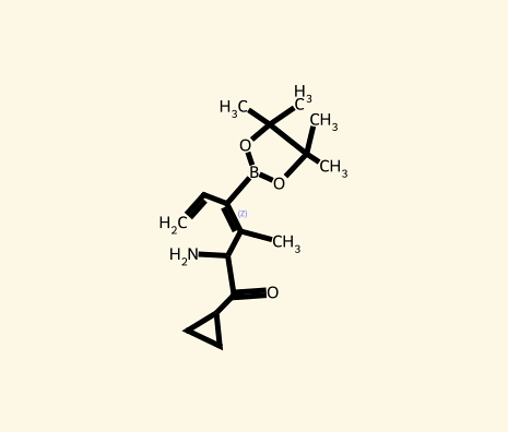 C=C/C(B1OC(C)(C)C(C)(C)O1)=C(/C)C(N)C(=O)C1CC1